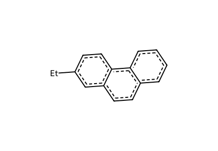 CCc1ccc2c(ccc3ccccc32)c1